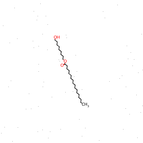 CCCCCCCCCCCCCCCCCC(=O)OCCCCCCCCCO